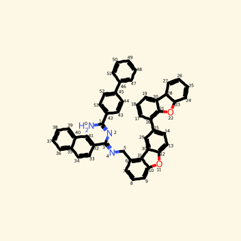 N/C(=N\C(=N/Cc1cccc2oc3ccc(-c4cccc5c4OC4C=CC=CC54)cc3c12)c1ccc2ccccc2c1)c1ccc(-c2ccccc2)cc1